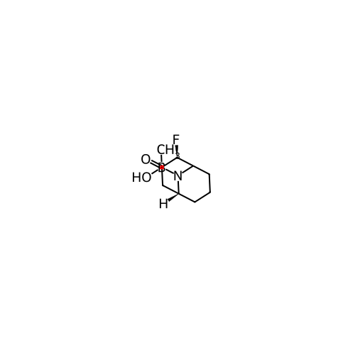 CB(O)N1C2CCC[C@@H]1CC(=O)[C@H]2F